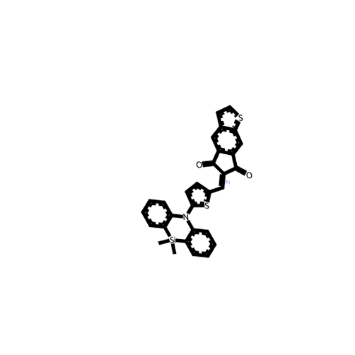 C[Si]1(C)c2ccccc2N(c2ccc(/C=C3\C(=O)c4cc5ccsc5cc4C3=O)s2)c2ccccc21